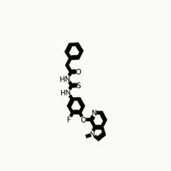 Cn1ccc2ccnc(Oc3ccc(NC(=S)NC(=O)Cc4ccccc4)cc3F)c21